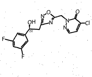 O=c1c(Cl)ccnn1Cc1nc(C[C@H](O)c2cc(F)cc(F)c2)no1